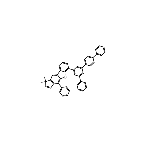 CC1(C)C=Cc2c1cc1c(oc3c(-c4cc(-c5ccccc5)nc(-c5ccc(-c6ccccc6)cc5)c4)cccc31)c2-c1ccccc1